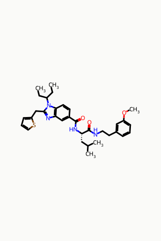 CCC(CC)n1c(Cc2cccs2)nc2cc(C(=O)N[C@@H](CC(C)C)C(=O)NCCc3cccc(OC)c3)ccc21